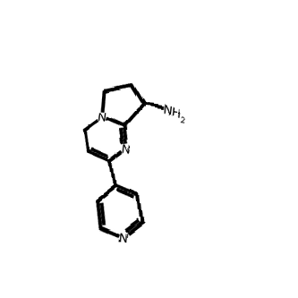 NC1CCN2CC=C(c3ccncc3)N=C12